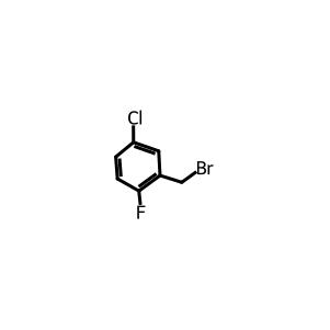 Fc1ccc(Cl)cc1CBr